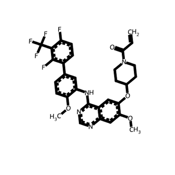 C=CC(=O)N1CCC(Oc2cc3c(Nc4cc(-c5ccc(F)c(C(F)(F)F)c5F)ccc4OC)ncnc3cc2OC)CC1